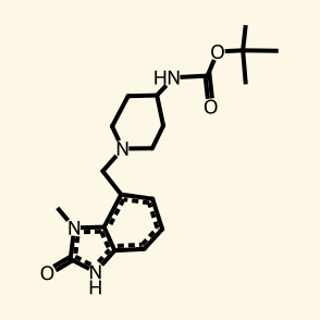 Cn1c(=O)[nH]c2cccc(CN3CCC(NC(=O)OC(C)(C)C)CC3)c21